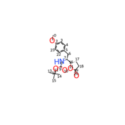 COc1ccc(C[C@H](NC(=O)OC(C)(C)C)[C@@H]2CCC(=O)O2)cc1